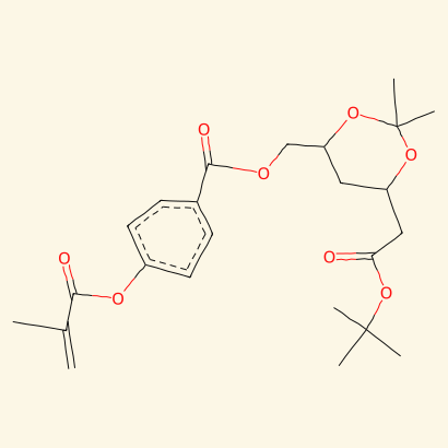 C=C(C)C(=O)Oc1ccc(C(=O)OCC2CC(CC(=O)OC(C)(C)C)OC(C)(C)O2)cc1